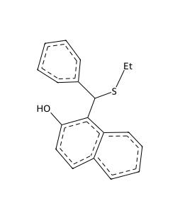 CCSC(c1ccccc1)c1c(O)ccc2ccccc12